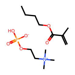 C=C(C)C(=O)OCCCC.C[N+](C)(C)CCOP(=O)([O-])O